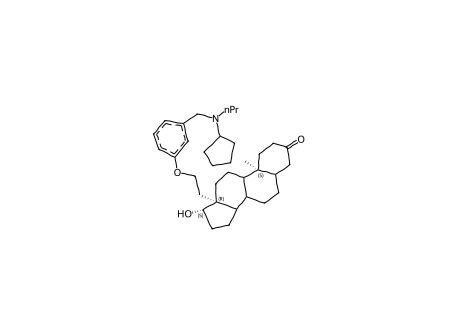 CCCN(Cc1cccc(OCC[C@]23CCC4C(CCC5CC(=O)CC[C@@]54C)C2CC[C@@H]3O)c1)C1CCCC1